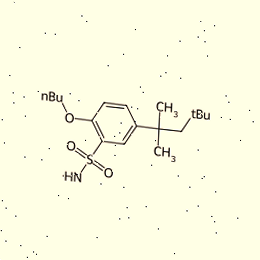 CCCCOc1ccc(C(C)(C)CC(C)(C)C)cc1S([NH])(=O)=O